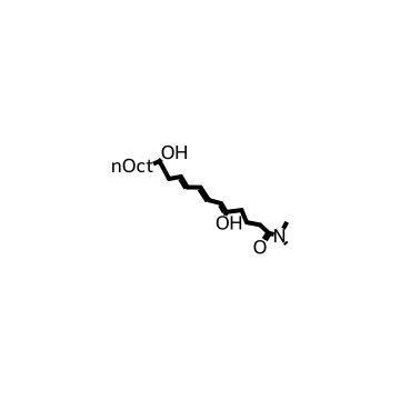 CCCCCCCCC(O)CC=CC=CC=C(O)CCCC(=O)N(C)C